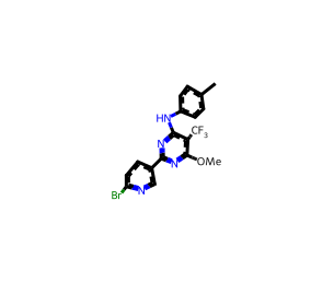 COc1nc(-c2ccc(Br)nc2)nc(Nc2ccc(C)cc2)c1C(F)(F)F